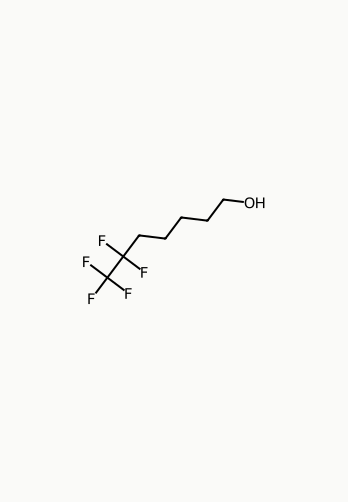 OCCCCCC(F)(F)C(F)(F)F